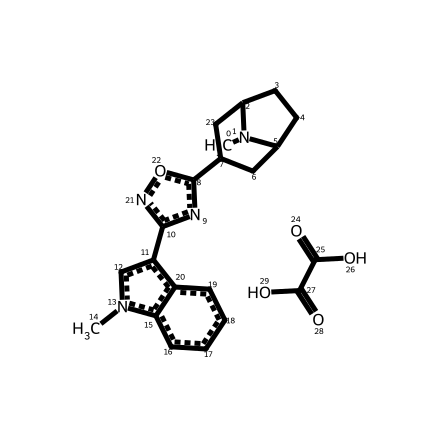 CN1C2CCC1CC(c1nc(-c3cn(C)c4ccccc34)no1)C2.O=C(O)C(=O)O